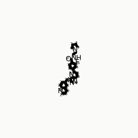 O=C(NCCN1CCCC1)c1ccc(-c2ccc3nnn(Cc4ccc5ncccc5c4)c3n2)cc1F